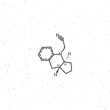 N#CCN1c2ccccc2C[C@H]2CCC[C@@H]21